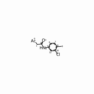 CC(=O)CC(=O)Nc1ccc(C)c(Cl)c1